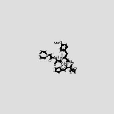 COc1ccc(CC(NC(=O)C(C)NC(=O)CN2CCOCC2)C(=O)NC(CC2CCCC2)C(=O)C2(C)CO2)cc1